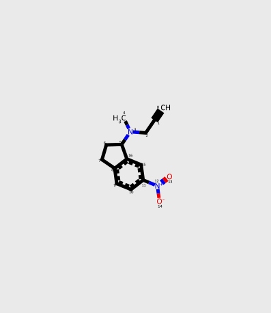 C#CCN(C)C1CCc2ccc([N+](=O)[O-])cc21